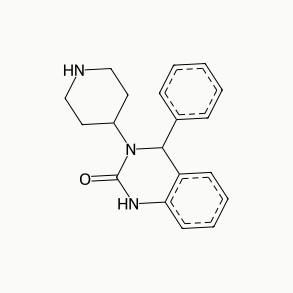 O=C1Nc2ccccc2C(c2ccccc2)N1C1CCNCC1